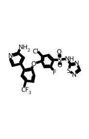 Nc1cc(-c2cc(C(F)(F)F)ccc2Oc2cc(F)c(S(=O)(=O)Nc3ncns3)cc2Cl)ccn1